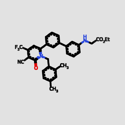 CCOC(=O)CNc1cccc(-c2cccc(-c3cc(C(F)(F)F)c(C#N)c(=O)n3Cc3ccc(C)cc3C)c2)c1